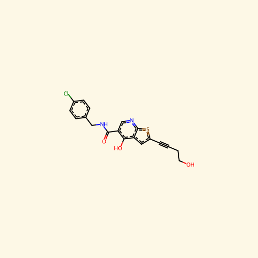 O=C(NCc1ccc(Cl)cc1)c1cnc2sc(C#CCCO)cc2c1O